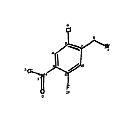 O=[N+]([O-])c1cc(Cl)c(CBr)cc1F